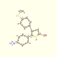 CSc1ccc(-c2cc(Br)sc2-c2ccc(N)cc2)cc1